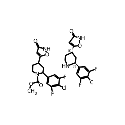 COC(=O)N1CCC(c2cc(=O)[nH]o2)CC1c1cc(F)c(Cl)c(F)c1.O=c1cc([C@H]2CCN[C@H](c3cc(F)c(Cl)c(F)c3)C2)o[nH]1